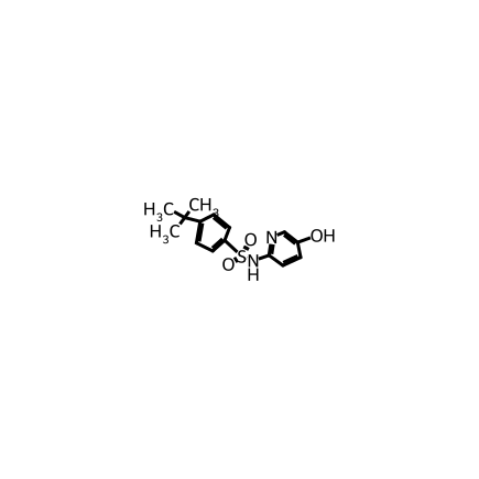 CC(C)(C)c1ccc(S(=O)(=O)Nc2ccc(O)cn2)cc1